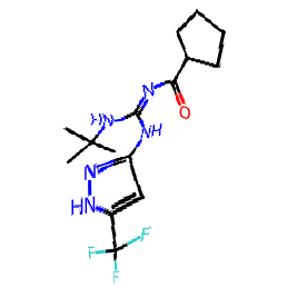 CC(C)(C)N/C(=N/C(=O)C1CCCC1)Nc1cc(C(F)(F)F)[nH]n1